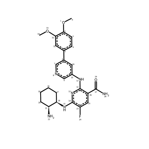 COc1ccc(-c2cncc(Nc3nc(N[C@@H]4CCCC[C@@H]4N)c(F)cc3C(N)=O)c2)cc1OC